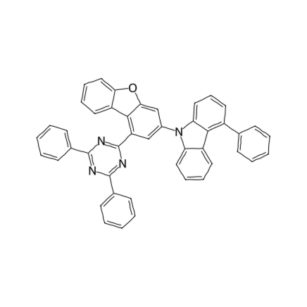 c1ccc(-c2nc(-c3ccccc3)nc(-c3cc(-n4c5ccccc5c5c(-c6ccccc6)cccc54)cc4oc5ccccc5c34)n2)cc1